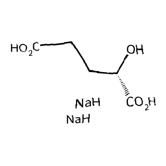 O=C(O)CC[C@H](O)C(=O)O.[NaH].[NaH]